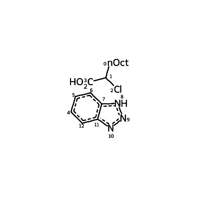 CCCCCCCCC(Cl)C(=O)O.c1ccc2[nH]nnc2c1